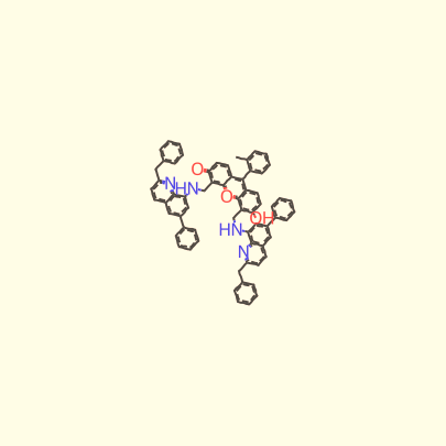 Cc1ccccc1-c1c2ccc(=O)c(CNc3cc(-c4ccccc4)cc4ccc(Cc5ccccc5)nc34)c-2oc2c(CNc3cc(-c4ccccc4)cc4ccc(Cc5ccccc5)nc34)c(O)ccc12